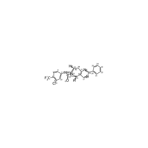 O=C(Nc1ccc(C(F)(F)F)c(Cl)c1)N1[C@@H]2CC[C@H]1c1cnc(-c3ccccc3)nc1C2